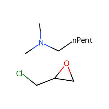 CCCCCCN(C)C.ClCC1CO1